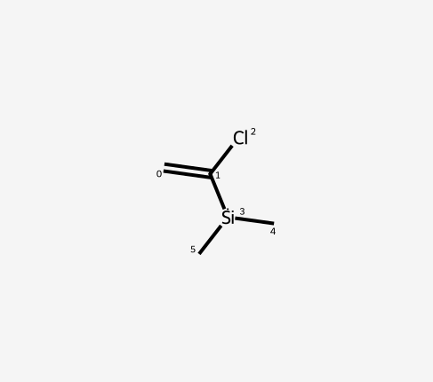 C=C(Cl)[Si](C)C